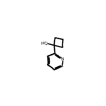 OC1(c2ccc[c]n2)CCC1